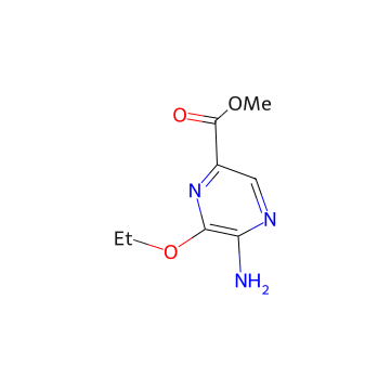 CCOc1nc(C(=O)OC)cnc1N